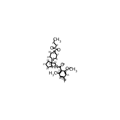 CCCS(=O)(=O)N1CCN(C2(CNC(=O)c3c(C)cc(F)cc3OC)CCCC2)CC1